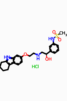 CS(=O)(=O)Nc1cccc([C@@H](O)CNCCOc2ccc3c4c([nH]c3c2)CCCC4)c1.Cl